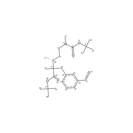 C[C@H](CCN(C)C(=O)OC(C)(C)C)C(C)(Cc1cccc(C=O)c1)C(=O)OC(C)(C)C